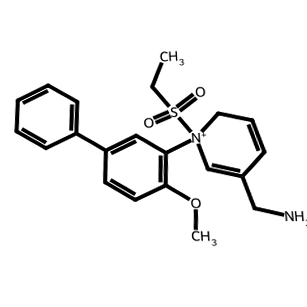 CCS(=O)(=O)[N+]1(c2cc(-c3ccccc3)ccc2OC)C=C(CN)C=CC1